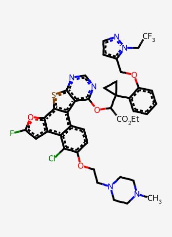 CCOC(=O)C(Oc1ncnc2sc3c4oc(F)cc4c4c(Cl)c(OCCN5CCN(C)CC5)ccc4c3c12)C1(c2ccccc2OCc2ccnn2CC(F)(F)F)CC1